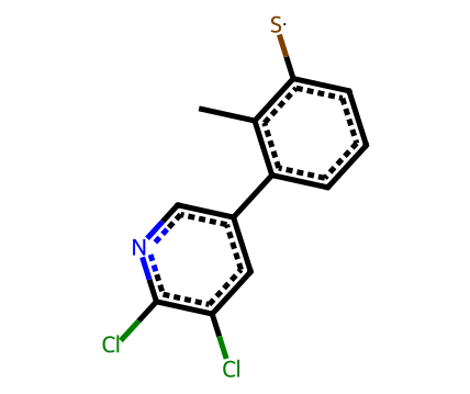 Cc1c([S])cccc1-c1cnc(Cl)c(Cl)c1